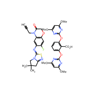 C#CCN1C(=O)COc2cc(F)c(/N=c3\snc4n3CC(C)(C)C4)cc21.COc1cc(OC)nc(Oc2cccc(Oc3nc(OC)cc(OC)n3)c2C(=O)O)n1